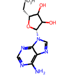 Nc1ncnc2c1ncn2[C@@H]1O[C@H](CS(=O)(=O)O)C(O)C1O